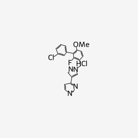 COc1ccc(Cn2cc(-c3ccncn3)cn2)c(F)c1-c1cccc(Cl)c1.Cl